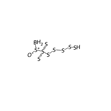 B[S+]([O-])S(=S)(=S)SSSSS